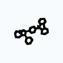 c1ccc(-c2c(-c3ccc(-n4c5ccccc5c5ccccc54)cc3)cn3ccccc23)cc1